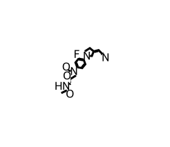 CC(=O)NC[C@H]1CN(c2ccc(N3CC/C(=C/C#N)C3)c(F)c2)C(=O)O1